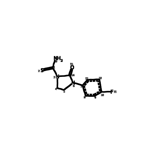 NC(=S)N1CCN(c2ccc(F)cc2)C1=O